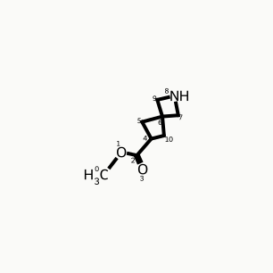 COC(=O)C1CC2(CNC2)C1